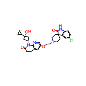 O=C1CCc2cc(OCCN3CCC4(CC3)C(=O)Nc3ccc(Cl)cc34)cnc2N1[C@H]1C[C@@](O)(C2CC2)C1